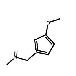 CNCI1=CC=C(OC)C=1